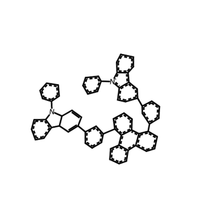 C1=CC2C(C=C1c1cccc(-c3cccc4c3c3ccccc3c3cccc(-c5cccc(-c6ccc7c(c6)c6ccccc6n7-c6ccccc6)c5)c34)c1)c1ccccc1N2c1ccccc1